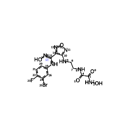 O=C(NO)C(=O)NCCNc1nonc1/C(=N/O)Nc1ccc(F)c(Br)c1